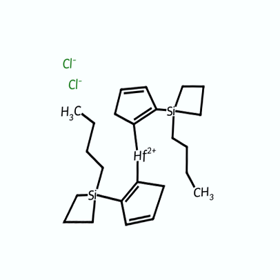 CCCC[Si]1(C2=[C]([Hf+2][C]3=C([Si]4(CCCC)CCC4)C=CC3)CC=C2)CCC1.[Cl-].[Cl-]